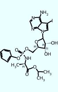 CC(C)OC(=O)[C@@H](C)NP(=O)(OC[C@H]1OC(n2cc(I)c3c(N)ncnc32)[C@H](O)[C@@H]1O)Oc1ccccc1